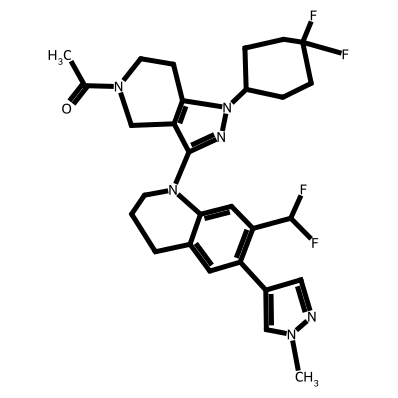 CC(=O)N1CCc2c(c(N3CCCc4cc(-c5cnn(C)c5)c(C(F)F)cc43)nn2C2CCC(F)(F)CC2)C1